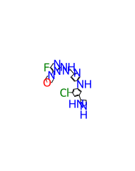 Fc1cnc(N/N=C/c2ccc(Nc3cc(Cl)cc(C4CCNN4)c3)cn2)nc1N1CCOCC1